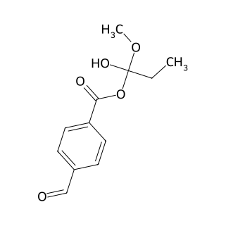 CCC(O)(OC)OC(=O)c1ccc(C=O)cc1